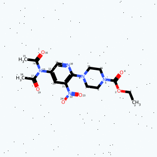 CCOC(=O)N1CCN(c2ncc(N(C(C)=O)C(C)=O)cc2[N+](=O)[O-])CC1